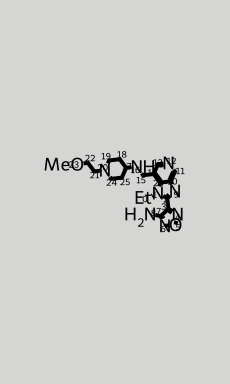 CCn1c(-c2nonc2N)nc2cncc(CNC3CCN(CCOC)CC3)c21